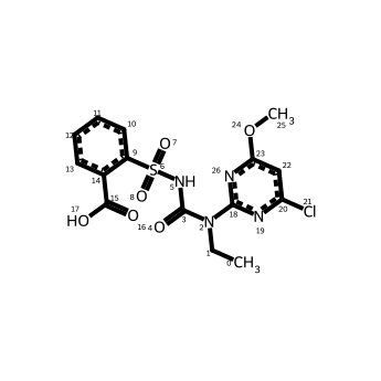 CCN(C(=O)NS(=O)(=O)c1ccccc1C(=O)O)c1nc(Cl)cc(OC)n1